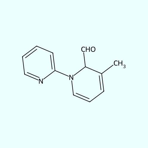 CC1=CC=CN(c2ccccn2)C1C=O